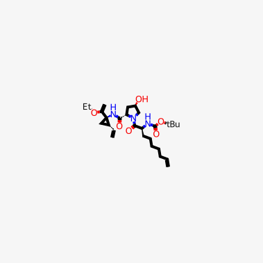 C=CCCCCC[C@H](NC(=O)OC(C)(C)C)C(=O)N1C[C@H](O)C[C@H]1C(=O)N[C@]1(C(=C)OCC)C[C@H]1C=C